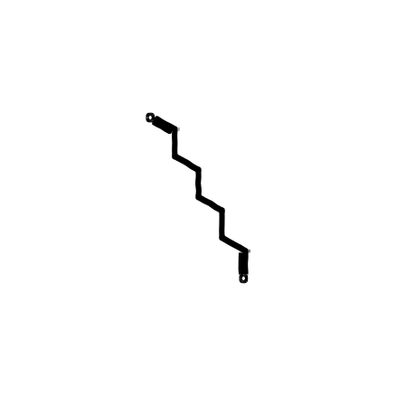 O=[C]CCCCC[C]=O